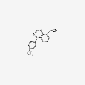 N#CCc1cccc2c(-c3ccc(C(F)(F)F)cc3)nccc12